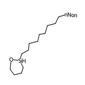 CCCCCCCCCCCCCCCCCC[SiH]1CCCCO1